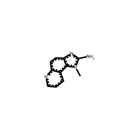 Cn1c(N)nc2ccc3ncccc3c21